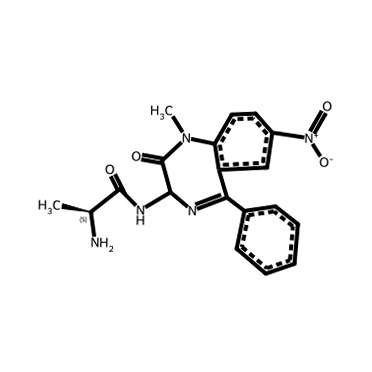 C[C@H](N)C(=O)NC1N=C(c2ccccc2)c2cc([N+](=O)[O-])ccc2N(C)C1=O